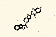 CN1CC[C@H](C(=O)Nc2cc3n(n2)CCN(C(=O)c2cc4ccccc4[nH]2)C3)[C@@H](F)C1